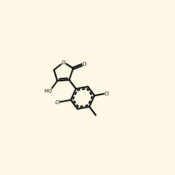 Cc1cc(Cl)c(C2=C(O)COC2=O)cc1Cl